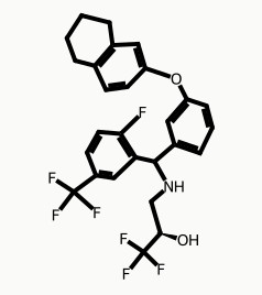 O[C@H](CNC(c1cccc(Oc2ccc3c(c2)CCCC3)c1)c1cc(C(F)(F)F)ccc1F)C(F)(F)F